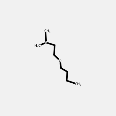 CCCCOCC[N+](C)C